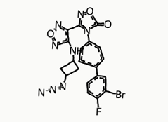 [N-]=[N+]=NC1CC(Nc2nonc2-c2noc(=O)n2-c2ccc(-c3ccc(F)c(Br)c3)cc2)C1